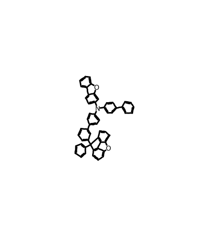 c1ccc(-c2ccc(N(c3ccc(-c4cccc(C5(c6ccccc6)c6cccc7oc8cccc5c8c67)c4)cc3)c3ccc4c(c3)oc3ccccc34)cc2)cc1